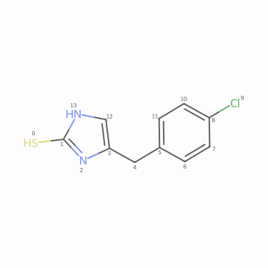 Sc1nc(Cc2ccc(Cl)cc2)c[nH]1